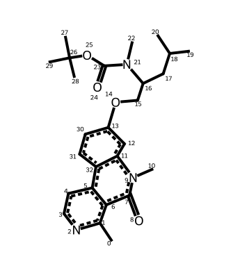 Cc1nccc2c1c(=O)n(C)c1cc(OCC(CC(C)C)N(C)C(=O)OC(C)(C)C)ccc21